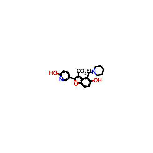 CCOC(=O)c1c(-c2ccc(O)nc2)oc2ccc(O)c(CN3CCCCC3)c12